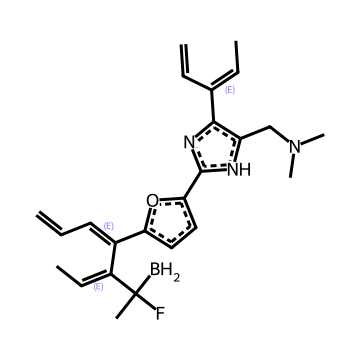 BC(C)(F)C(=C/C)/C(=C\C=C)c1ccc(-c2nc(/C(C=C)=C/C)c(CN(C)C)[nH]2)o1